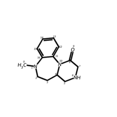 CN1CCC2CNCC(=O)N2c2ccccc21